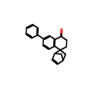 O=C1CCC2(CC3C=CC2C3)c2ccc(-c3ccccc3)cc21